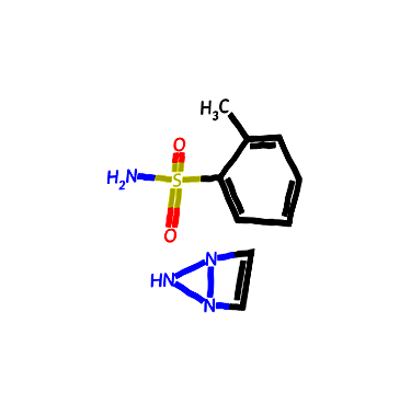 Cc1ccccc1S(N)(=O)=O.c1cn2[nH]n12